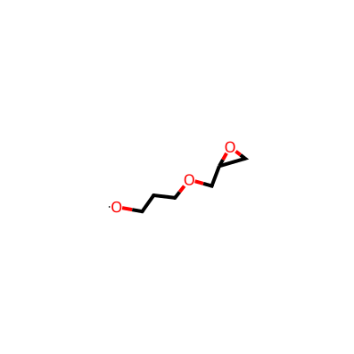 [O]CCCOCC1CO1